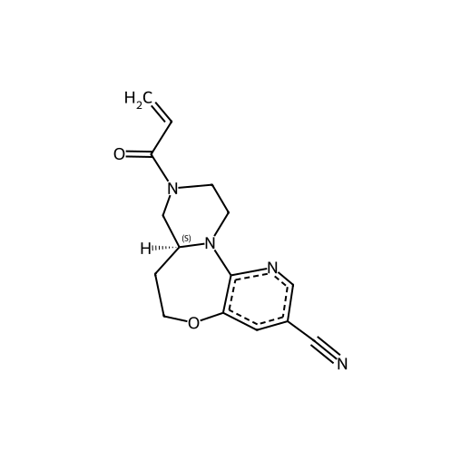 C=CC(=O)N1CCN2c3ncc(C#N)cc3OCC[C@H]2C1